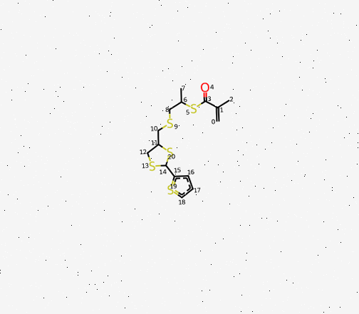 C=C(C)C(=O)SC(C)CSCC1CSC(c2cccs2)S1